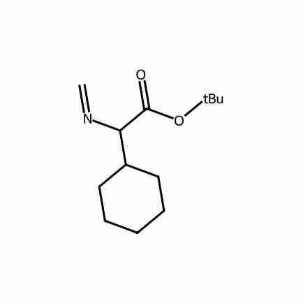 C=NC(C(=O)OC(C)(C)C)C1CCCCC1